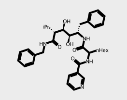 CCCCCCC(NC(=O)c1cccnc1)C(=O)N[C@@H](Cc1ccccc1)[C@@H](O)[C@H](O)[C@H](C(=O)NCc1ccccc1)C(C)C